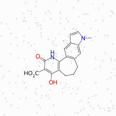 Cn1ccc2cc3c(cc21)CCCc1c-3[nH]c(=O)c(C(=O)O)c1O